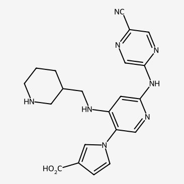 N#Cc1cnc(Nc2cc(NCC3CCCNC3)c(-n3ccc(C(=O)O)c3)cn2)cn1